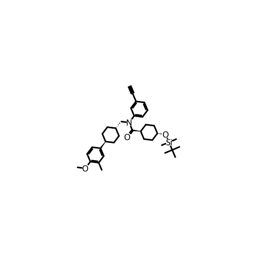 C#Cc1cccc(N(C[C@H]2CC[C@H](c3ccc(OC)c(C)c3)CC2)C(=O)[C@H]2CC[C@H](O[Si](C)(C)C(C)(C)C)CC2)c1